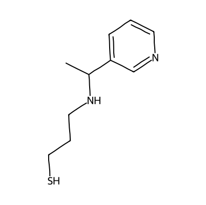 CC(NCCCS)c1cccnc1